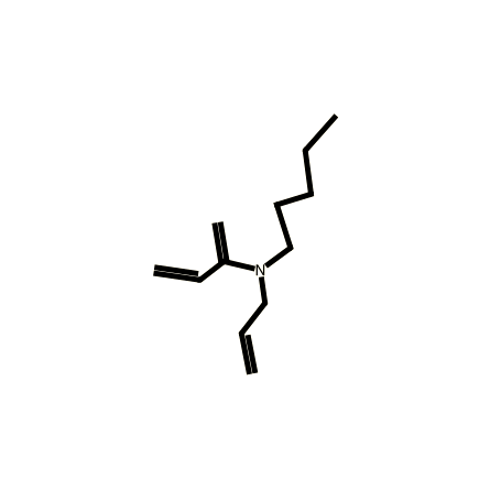 C=CCN(CCCCC)C(=C)C=C